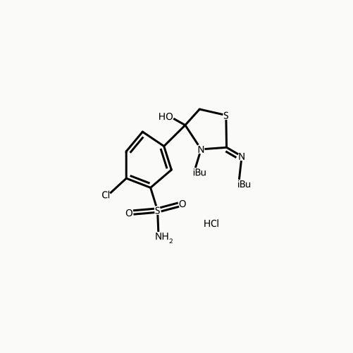 CCC(C)N=C1SCC(O)(c2ccc(Cl)c(S(N)(=O)=O)c2)N1C(C)CC.Cl